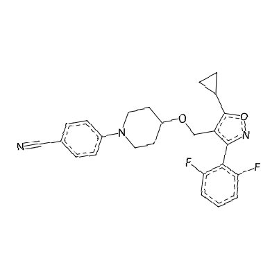 N#Cc1ccc(N2CCC(OCc3c(-c4c(F)cccc4F)noc3C3CC3)CC2)cc1